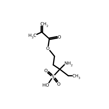 C=C(C)C(=O)OCCC(N)(CC)S(=O)(=O)O